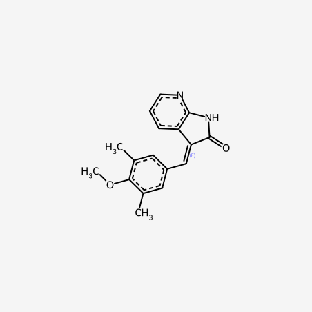 COc1c(C)cc(/C=C2/C(=O)Nc3ncccc32)cc1C